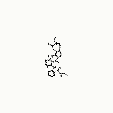 CCNC(=O)c1ccccc1Nc1nc(Nc2c(OC)ccc3c2CC(=O)N(CC)CC3)ncc1Cl